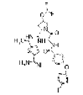 C[C@@H](NC(=N)[C@@H]1C[C@@H](OC(F)F)CN1C(=O)CNC(=O)c1ccc(Oc2ccc(F)cc2)cc1)c1ccc(C(=N)N)s1